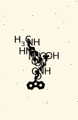 CNCc1cc2cn(CC(=O)N(CCNC(=O)OCC3c4ccccc4-c4ccccc43)CC(=O)O)c(=O)nc2[nH]1